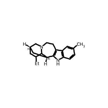 CCC1C[C@H]2C[C@H]3c4[nH]c5ccc(C)cc5c4CCN(C2)C13